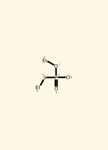 CCOP(=O)(Cl)SCC